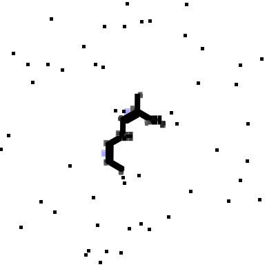 C/C=C\N/C=C(/C)N